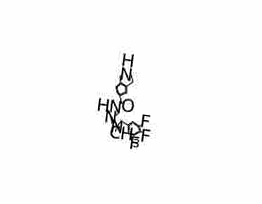 CN(/C=N\CNC(=O)c1ccc2c(c1)CCNC2)Cc1cc(F)c(F)c(F)c1